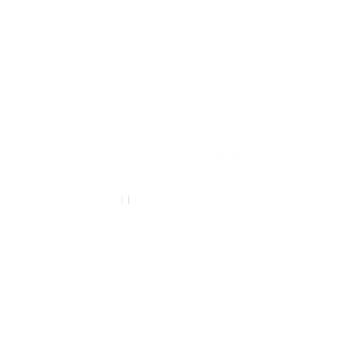 [CH2]CCP